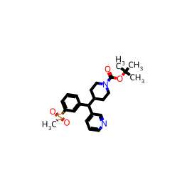 CC(C)(C)OC(=O)N1CCC(C(c2cccnc2)c2cccc(S(C)(=O)=O)c2)CC1